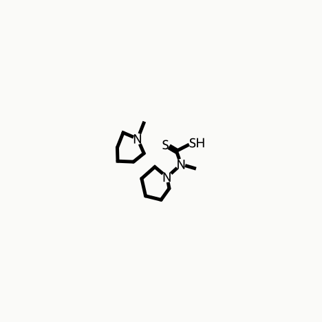 CN(C(=S)S)N1CCCCC1.CN1CCCCC1